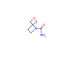 NC(=O)N1CCC12COC2